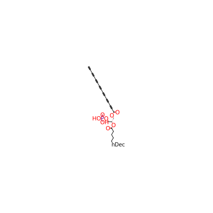 C#CC#CC#CC#CC#CC#CC#CC(=O)OC[C@@H](COP(=O)(O)O)OC(=O)CCCCCCCCCCCCCC